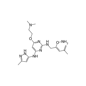 C=C(C)/C=C(/CNc1nc(Nc2cc(C)n[nH]2)cc(OCCN(C)C)n1)ON